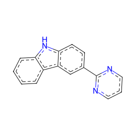 c1cnc(-c2ccc3[nH]c4ccccc4c3c2)nc1